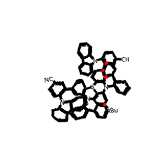 CC(C)(C)c1cc2c3c(c1)N(c1ccccc1-c1ccccc1)c1cc(-c4cc(C#N)ccc4-n4c5ccccc5c5ccccc54)ccc1B3c1c#cc(-c3cc(C#N)ccc3-n3c4c(c5ccccc53)C=CCC4)cc1N2c1ccccc1-c1ccccc1